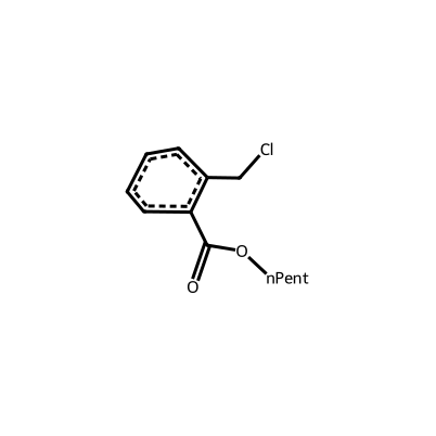 CCCCCOC(=O)c1ccccc1CCl